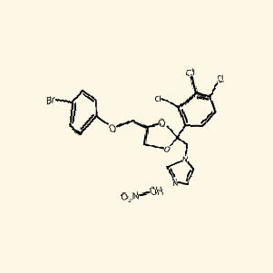 Clc1ccc(C2(Cn3ccnc3)OCC(COc3ccc(Br)cc3)O2)c(Cl)c1Cl.O=[N+]([O-])O